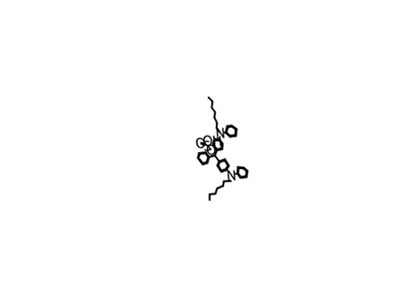 CCCCCCCN(c1ccccc1)c1ccc(C(c2ccc(N(CCCCCCC)c3ccccc3)cc2)c2ccccc2S(=O)(=O)O)cc1